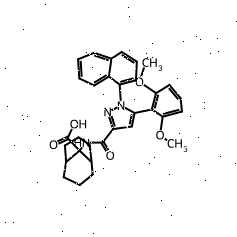 COc1cccc(OC)c1-c1cc(C(=O)NC2(C(=O)O)C3CCCC2CCC3)nn1-c1cccc2ccccc12